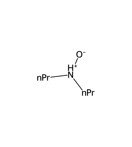 CCC[NH+]([O-])CCC